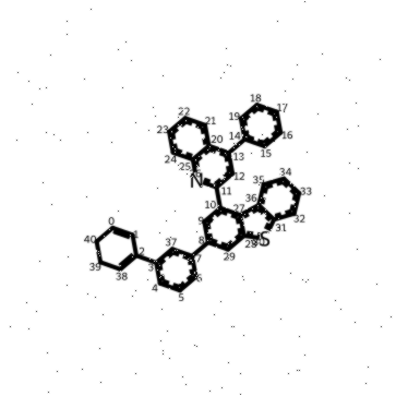 C1=CC(c2cccc(-c3cc(-c4cc(-c5ccccc5)c5ccccc5n4)c4c(c3)sc3ccccc34)c2)=CCC1